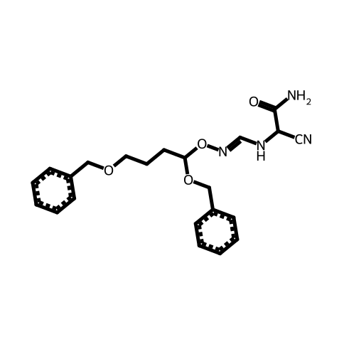 N#CC(NC=NOC(CCCOCc1ccccc1)OCc1ccccc1)C(N)=O